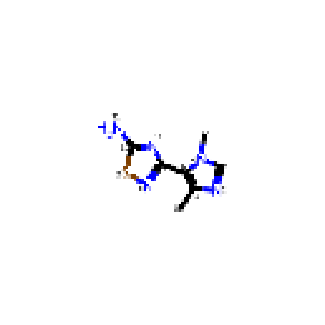 Cc1ncn(C)c1-c1nsc(N)n1